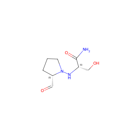 NC(=O)[C@H](CO)NN1CCC[C@H]1C=O